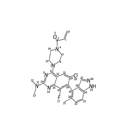 C=CC(=O)N1CCN(c2nc(N(C)C)nc3c(F)c(-c4c(C)ccc5[nH]ncc45)c(Cl)cc23)CC1